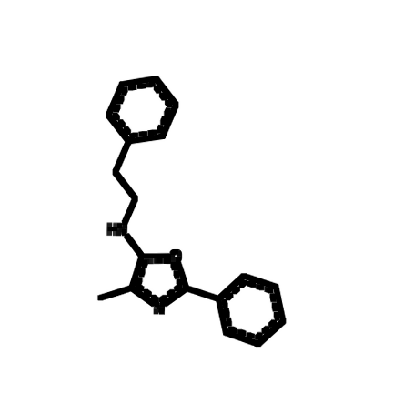 Cc1nc(-c2ccccc2)oc1NCCc1ccccc1